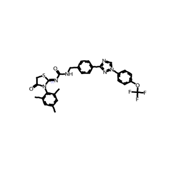 Cc1cc(C)c(N2C(=O)CS/C2=N\C(=O)NCc2ccc(-c3ncn(-c4ccc(OC(F)(F)F)cc4)n3)cc2)c(C)c1